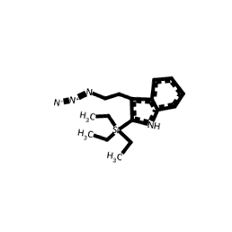 CC[Si](CC)(CC)c1[nH]c2ccccc2c1CCN=[N+]=[N-]